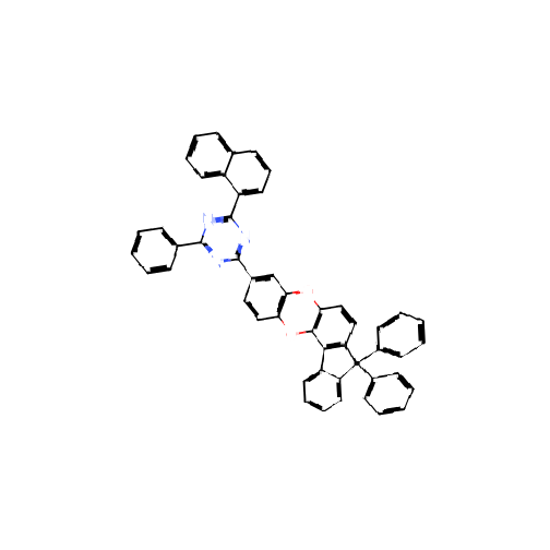 c1ccc(-c2nc(-c3ccc4c(c3)Oc3ccc5c(c3O4)-c3ccccc3C5(c3ccccc3)c3ccccc3)nc(-c3cccc4ccccc34)n2)cc1